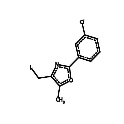 Cc1oc(-c2cccc(Cl)c2)nc1CI